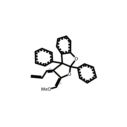 C=C/C=C1\C(=C/OC)OC2(c3ccccc3)Oc3ccccc3C12c1ccccc1